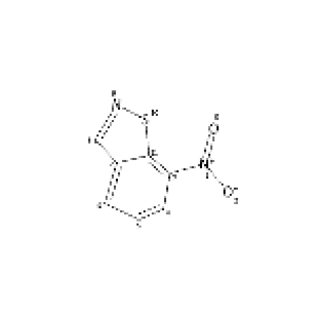 O=[N+]([O-])c1cccc2[c]nsc12